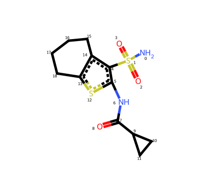 NS(=O)(=O)c1c(NC(=O)C2CC2)sc2c1CCCC2